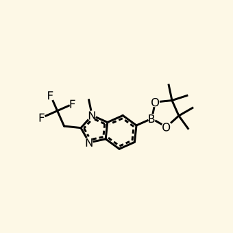 Cn1c(CC(F)(F)F)nc2ccc(B3OC(C)(C)C(C)(C)O3)cc21